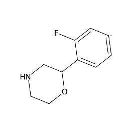 Fc1c[c]ccc1C1CNCCO1